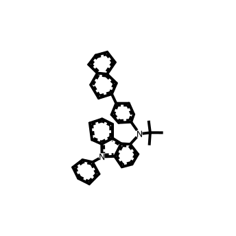 CC(C)(C)N(c1ccc(-c2ccc3ccccc3c2)cc1)c1cccc2c1c1ccccc1n2-c1ccccc1